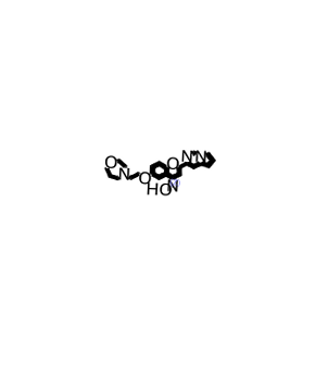 O/N=c1/cc(-c2cc3cccn3cn2)oc2ccc(OCCN3CCCOCC3)cc12